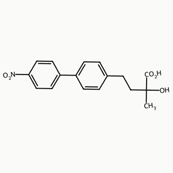 CC(O)(CCc1ccc(-c2ccc([N+](=O)[O-])cc2)cc1)C(=O)O